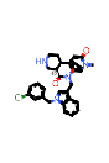 Cn1ccc(C2CCNC[C@@H]2C(=O)N(Cc2cn(Cc3cccc(Cl)c3)c3ccccc23)C2CC2)cc1=O